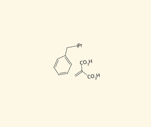 C=C(C(=O)O)C(=O)O.CC(C)Cc1ccccc1